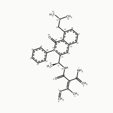 C=N/C(C)=C(/C(=C)N)C(=O)N[C@@H](C)c1cc2cccc(CN(C)C)c2c(=O)n1-c1ccccc1